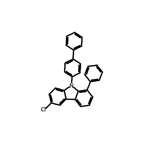 Clc1ccc2c(c1)c1cccc(-c3ccccc3)c1n2-c1ccc(-c2ccccc2)cc1